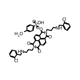 Cc1ccc(S(=O)(=O)O)cc1.O.O=C1c2ccc3c4c(ccc(c24)C(=O)N1CCCNCc1ccccc1Cl)C(=O)N(CCCNCc1ccccc1Cl)C3=O